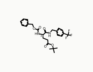 CC(C)(C)OC(=O)CC[C@@H](NC(=O)OCc1ccccc1)C(=O)NCc1ccc(C(F)(F)F)cc1